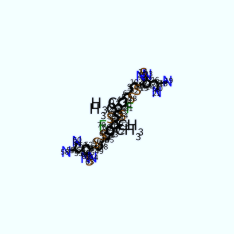 CC1(C)c2cc3cc(-c4ccc(-c5ccc(C=C(C#N)C#N)c6nsnc56)s4)sc3c(F)c2-c2sc3c4c(sc3c21)-c1c(cc2cc(-c3ccc(-c5ccc(C=C(C#N)C#N)c6nsnc56)s3)sc2c1F)C4(C)C